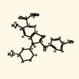 COC(=O)c1cc2nc(Nc3ccc(C(C)C)cc3)n(C3CCCC(C)C3)c2cc1P